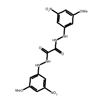 COc1cc(NNC(=O)C(=O)NNc2cc(OC)cc([N+](=O)[O-])c2)cc([N+](=O)[O-])c1